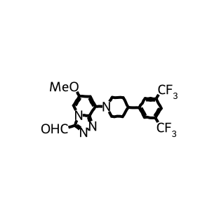 COc1cc(N2CCC(c3cc(C(F)(F)F)cc(C(F)(F)F)c3)CC2)c2nnc(C=O)n2c1